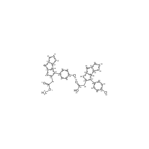 COC(=O)Cc1sc2nc3cscc3n2c1-c1ccc(Cl)cc1.O=C(O)Cc1sc2nc3cscc3n2c1-c1ccc(Cl)cc1